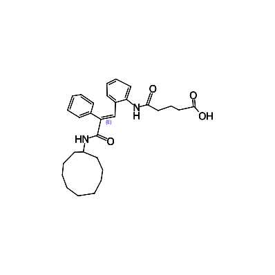 O=C(O)CCCC(=O)Nc1ccccc1/C=C(/C(=O)NC1CCCCCCCCC1)c1ccccc1